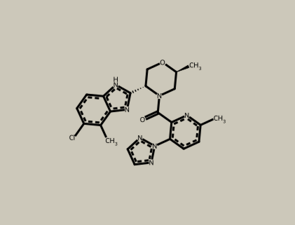 Cc1ccc(-n2nccn2)c(C(=O)N2C[C@H](C)OC[C@H]2c2nc3c(C)c(Cl)ccc3[nH]2)n1